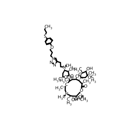 CCCSc1ccc(OCCCn2cc(CCN(C)[C@H]3C[C@@H](C)O[C@@H](O[C@@H]4[C@@H](C)[C@H](C5C[C@@](C)(OC)[C@@H](O)[C@H](C)O5)[C@@H](C)C(=O)O[C@H](CC)[C@@](C)(O)[C@H](O)[C@@H](C)N(C)C[C@H](C)C[C@@]4(C)O)[C@@H]3O)nn2)cc1